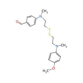 COc1ccc(N(C)CCSSCCN(C)c2ccc(C=O)cc2)cc1